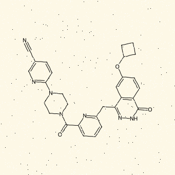 N#Cc1ccc(N2CCN(C(=O)c3cccc(Cc4n[nH]c(=O)c5ccc(OC6CCC6)cc45)n3)CC2)nc1